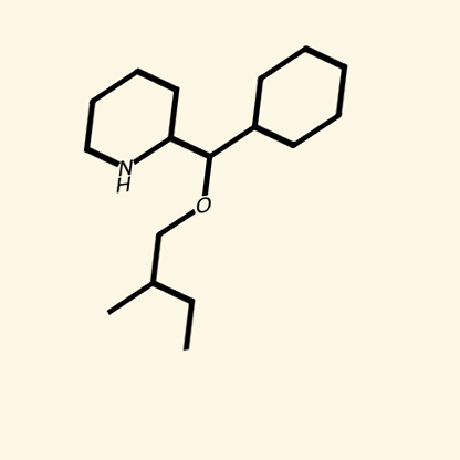 CCC(C)COC(C1CCCCC1)C1CCCCN1